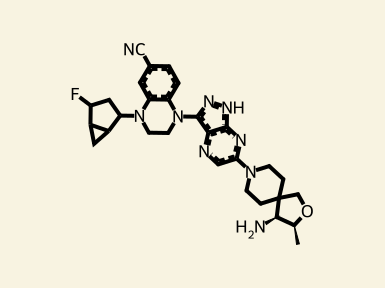 C[C@@H]1OCC2(CCN(c3cnc4c(N5CCN(C6CC(F)C7CC76)c6cc(C#N)ccc65)n[nH]c4n3)CC2)[C@@H]1N